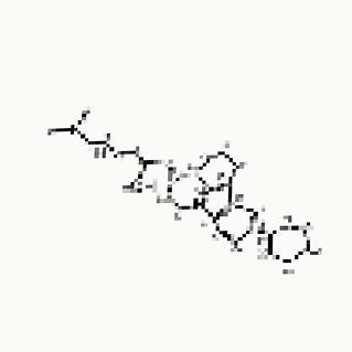 CN(C)CCNCC(O)CN1CCn2c3c(c4cc(C5CCCCC5)ccc42)CCCC31